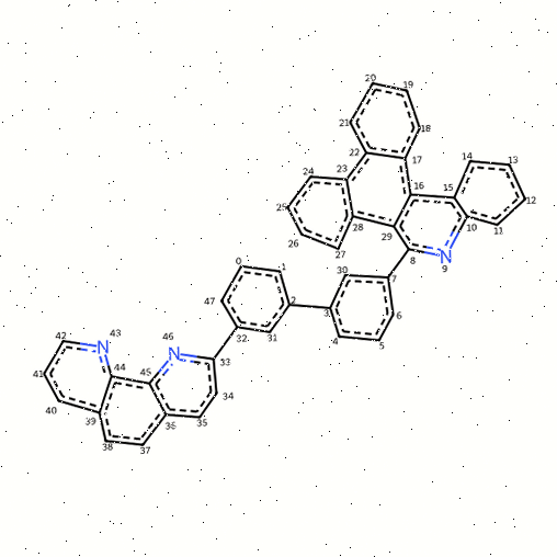 c1cc(-c2cccc(-c3nc4ccccc4c4c5ccccc5c5ccccc5c34)c2)cc(-c2ccc3ccc4cccnc4c3n2)c1